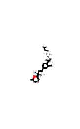 O=S(=O)(CCC(F)(F)F)N1CC2(C1)OCc1cc(C3=NS[C@@](c4cc(Cl)c(F)c(Cl)c4)(C(F)(F)F)C3)ccc12